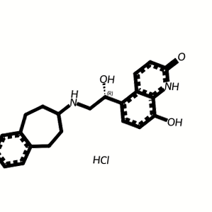 Cl.O=c1ccc2c([C@@H](O)CNC3CCc4ccccc4CC3)ccc(O)c2[nH]1